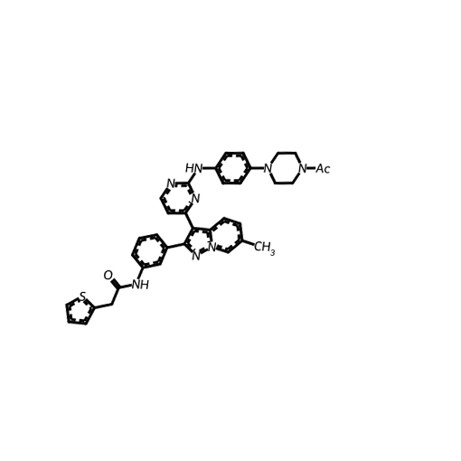 CC(=O)N1CCN(c2ccc(Nc3nccc(-c4c(-c5cccc(NC(=O)Cc6cccs6)c5)nn5cc(C)ccc45)n3)cc2)CC1